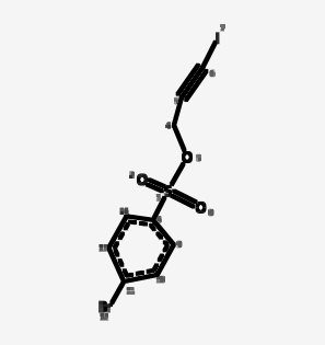 O=S(=O)(OCC#CI)c1ccc(Br)cc1